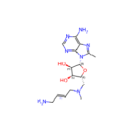 Cc1nc2c(N)ncnc2n1[C@@H]1O[C@H](CN(C)C/C=C/CN)[C@@H](O)[C@H]1O